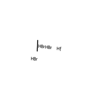 Br.Br.Br.CC.[Hf]